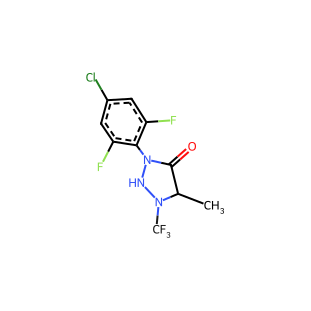 CC1C(=O)N(c2c(F)cc(Cl)cc2F)NN1C(F)(F)F